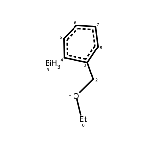 CCOCc1cc[c]cc1.[BiH3]